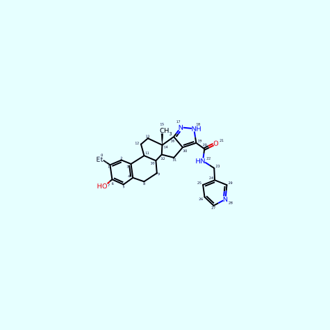 CCc1cc2c(cc1O)CCC1C2CC[C@]2(C)c3n[nH]c(C(=O)NCc4cccnc4)c3CC12